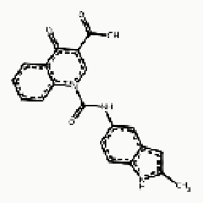 Cc1cc2cc(NC(=O)n3cc(C(=O)O)c(=O)c4ccccc43)ccc2[nH]1